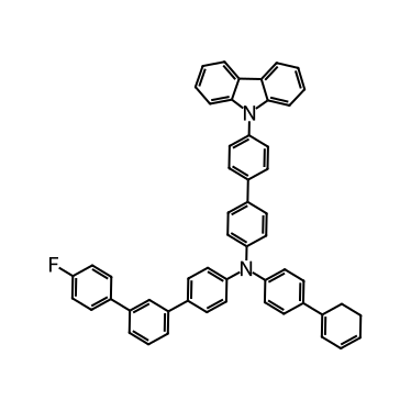 Fc1ccc(-c2cccc(-c3ccc(N(c4ccc(C5=CC=CCC5)cc4)c4ccc(-c5ccc(-n6c7ccccc7c7ccccc76)cc5)cc4)cc3)c2)cc1